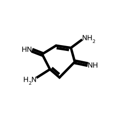 N=C1C=C(N)C(=N)C=C1N